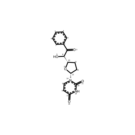 O=C(c1ccccc1)C(O)[C@@H]1CC[C@H](n2ccc(=O)[nH]c2=O)O1